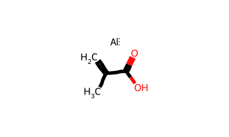 C=C(C)C(=O)O.[Al]